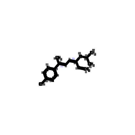 C=N/C(=C\C=C(/C)c1cnc(Cl)cn1)O[C@H](C)C(F)(F)F